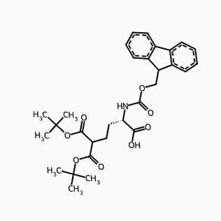 CC(C)(C)OC(=O)C(CC[C@H](NC(=O)OCC1c2ccccc2-c2ccccc21)C(=O)O)C(=O)OC(C)(C)C